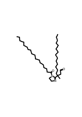 CCCCCCCCCCCCCCCCCC(=O)N1CCN=C1C(C)(CC=O)CCCCCCCCCCCCCC